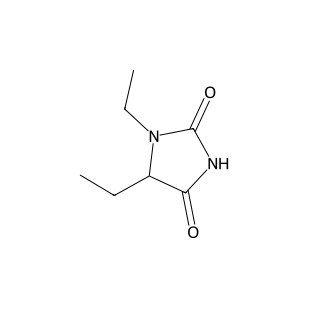 CCC1C(=O)NC(=O)N1CC